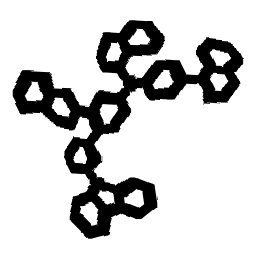 c1cc(-c2ccc(N(c3ccc(-c4cccc5ccccc45)cc3)c3cccc4ccccc34)cc2-c2ccc3ccccc3c2)cc(-n2c3ccccc3c3ccccc32)c1